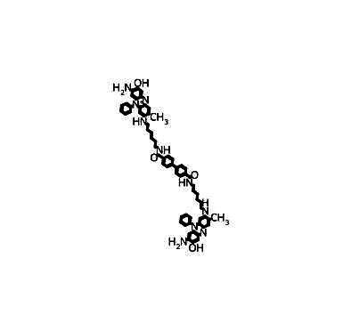 CC1=CC2=Nc3cc(O)c(N)cc3N(c3ccccc3)C2C=C1NCCCCCCNC(=O)c1ccc(-c2ccc(C(=O)NCCCCCCNc3cc4c(cc3C)nc3cc(O)c(N)cc3[n+]4-c3ccccc3)cc2)cc1